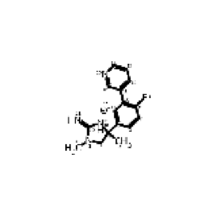 CN1CC(C)(c2ccc(F)c(-c3cccnc3)c2)[NH+]([O-])C1=N